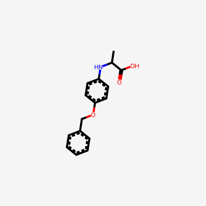 CC(Nc1ccc(OCc2ccccc2)cc1)C(=O)O